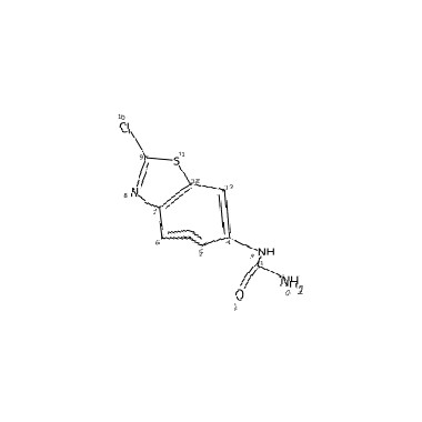 NC(=O)Nc1ccc2nc(Cl)sc2c1